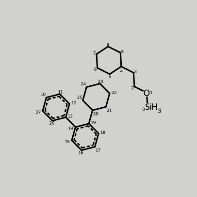 [SiH3]OCCC1CCCCC1.c1ccc(-c2ccccc2C2CCCCC2)cc1